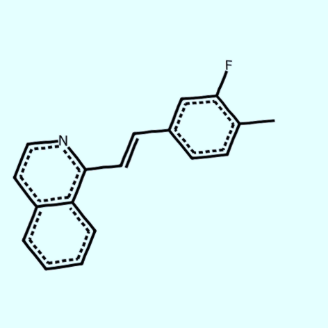 Cc1ccc(C=Cc2nccc3ccccc23)cc1F